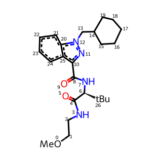 COCCNC(=O)[C@@H](NC(=O)c1nn(CC2CCCCC2)c2ccccc12)C(C)(C)C